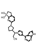 N#CCC(C1CCN(c2ccc3c(n2)S(O)(O)CC3)C1)n1ccc(-c2ncnc3[nH]ccc23)c1